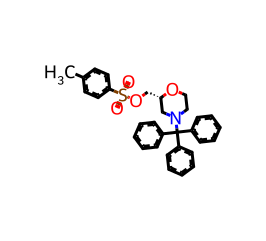 Cc1ccc(S(=O)(=O)OC[C@H]2CN(C(c3ccccc3)(c3ccccc3)c3ccccc3)CCO2)cc1